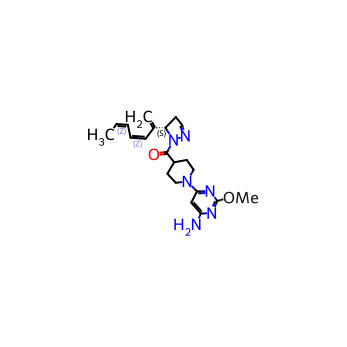 C=C(/C=C\C=C/C)[C@@H]1CC=NN1C(=O)C1CCN(c2cc(N)nc(OC)n2)CC1